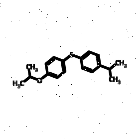 CC(C)Oc1ccc(Sc2ccc(C(C)C)cc2)cc1